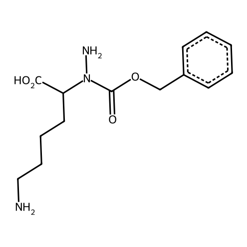 NCCCCC(C(=O)O)N(N)C(=O)OCc1ccccc1